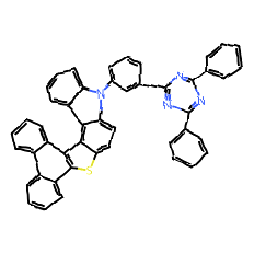 c1ccc(-c2nc(-c3ccccc3)nc(-c3cccc(-n4c5ccccc5c5c6c(ccc54)sc4c5ccccc5c5ccccc5c46)c3)n2)cc1